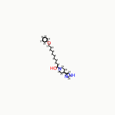 OC(=CCCCCCCCCCOc1ccccc1)N1CCC(c2c[nH]cn2)CC1